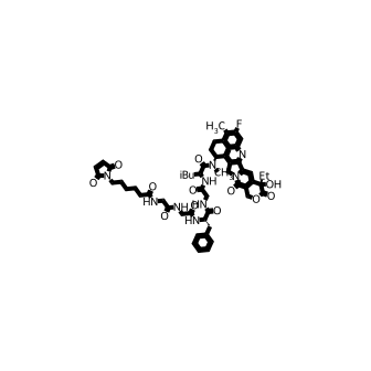 CCC(C)C(NC(=O)CNC(=O)[C@H](Cc1ccccc1)NC(=O)CNC(=O)CNC(=O)CCCCCN1C(=O)C=CC1=O)C(=O)N(C)[C@H]1CCc2c(C)c(F)cc3nc4c(c1c23)Cn1c-4cc2c(c1=O)COC(=O)[C@]2(O)CC